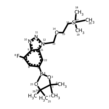 CC1(C)OB(c2cc(F)c3nnn(COCC[Si](C)(C)C)c3c2)OC1(C)C